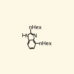 CCCCCCc1cccc2c1nc(CCCCCC)n2I